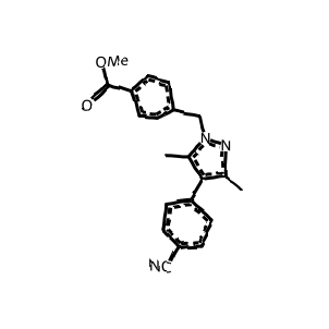 COC(=O)c1ccc(Cn2nc(C)c(-c3ccc(C#N)cc3)c2C)cc1